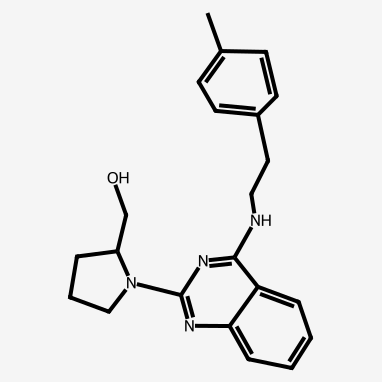 Cc1ccc(CCNc2nc(N3CCCC3CO)nc3ccccc23)cc1